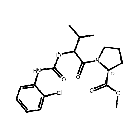 COC(=O)[C@@H]1CCCN1C(=O)C(NC(=O)Nc1ccccc1Cl)C(C)C